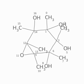 CC1(O)C(C)(O)C(C)(O)C2(C)OC2(C)C1(C)O